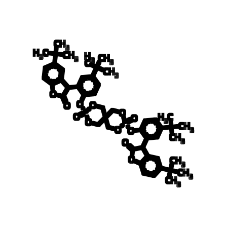 CC(C)(C)c1ccc2c(c1)C(c1cc(C(C)(C)C)ccc1OP1(=O)OCC3(CO1)COP(=O)(Oc1ccc(C(C)(C)C)cc1C1C(=O)Oc4ccc(C(C)(C)C)cc41)OC3)C(=O)O2